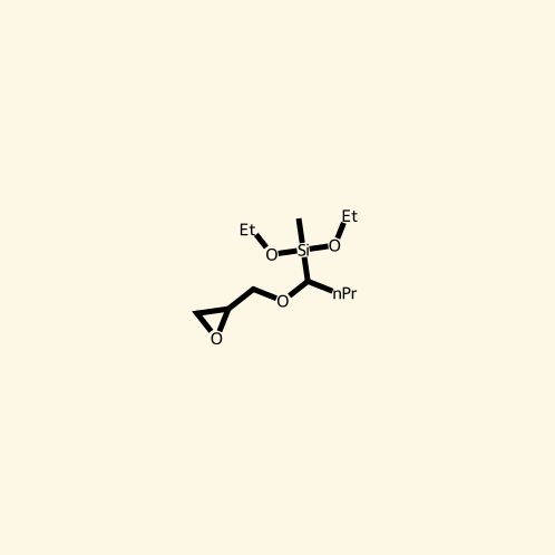 CCCC(OCC1CO1)[Si](C)(OCC)OCC